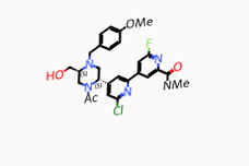 CNC(=O)c1cc(-c2cc([C@H]3CN(Cc4ccc(OC)cc4)[C@H](CO)CN3C(C)=O)cc(Cl)n2)cc(F)n1